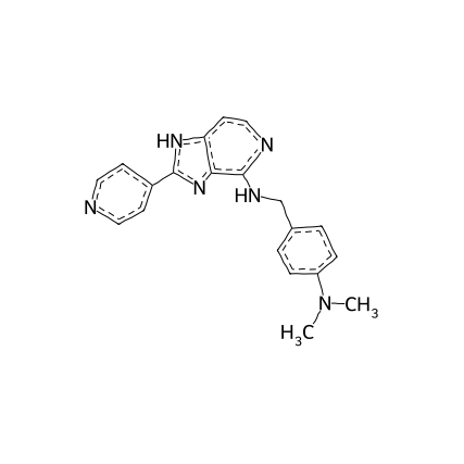 CN(C)c1ccc(CNc2nccc3[nH]c(-c4ccncc4)nc23)cc1